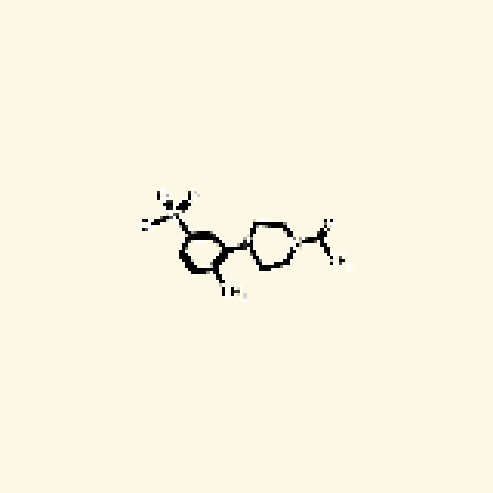 Cc1ccc(S(=O)(=O)Cl)cc1N1CCN(C(=O)C(F)(F)F)CC1